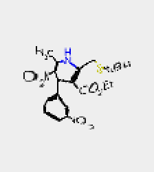 CCCCSCC1=C(C(=O)OCC)C(c2cccc([N+](=O)[O-])c2)C([N+](=O)[O-])=C(C)N1